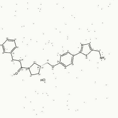 Cl.NCc1cnc(-c2ccc(OC[C@@H]3CCN(C(=O)OCc4ccccc4)C3)cc2)s1